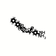 N=C(N)c1ccc(N2CC(CN3CCN(S(=O)(=O)c4ccc(-c5ccccc5)cc4)CC3)OC2=O)cc1